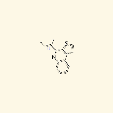 C/C=C(\C)c1nc2ccccc2c2ccsc12